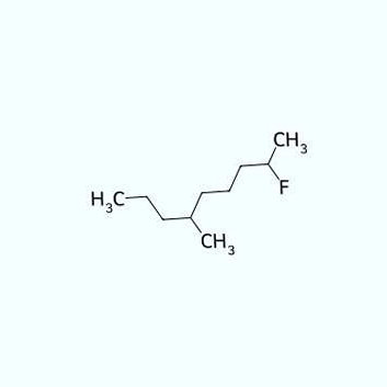 CCCC(C)CCCC(C)F